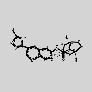 Cc1nnc(-c2cnc3cnc(NC(=O)N4[C@@H]5CC[C@H]4C[C@H](N)C5)cc3c2)s1